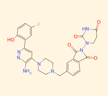 Nc1nnc(-c2cc(F)ccc2O)cc1N1CCN(Cc2ccc3c(c2)C(=O)N(N2CCC(=O)NC2=O)C3=O)CC1